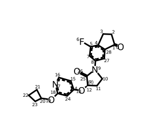 O=C1CCc2c(F)cc(N3CC[C@@H](Oc4ccnc(OC5CCC5)c4)C3=O)cc21